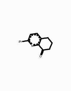 CC(C)c1ccc2c(n1)C(=O)CCC2